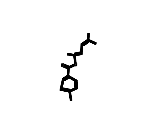 CC(C)=C/C=C(\C)OC(=O)c1ccc(C)cc1